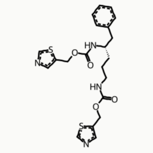 O=C(NCCC[C@@H](Cc1ccccc1)NC(=O)OCc1cncs1)OCc1cncs1